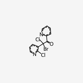 O=C(c1ccccn1)C(Cl)(Br)c1cccnc1Cl